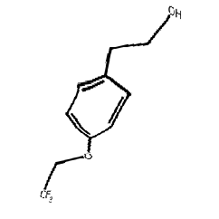 OCCc1ccc(OCC(F)(F)F)cc1